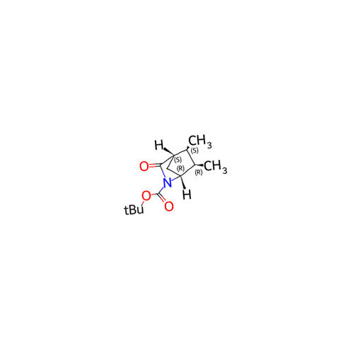 C[C@@H]1[C@H](C)[C@@H]2C[C@H]1N(C(=O)OC(C)(C)C)C2=O